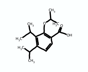 CC(C)Oc1c(C(=O)O)ccc(C(C)C)c1C(C)C